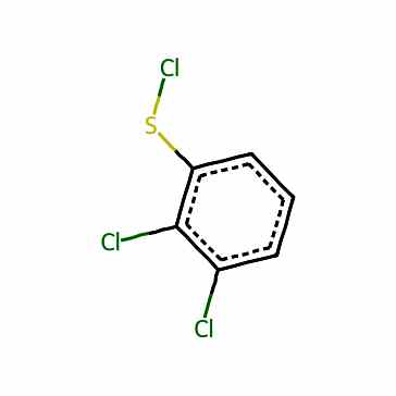 ClSc1cccc(Cl)c1Cl